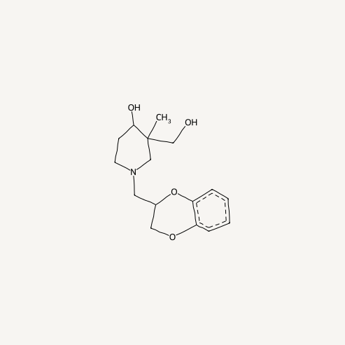 CC1(CO)CN(CC2COc3ccccc3O2)CCC1O